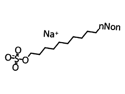 CCCCCCCCCCCCCCCCCCCOS(=O)(=O)[O-].[Na+]